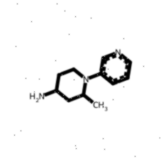 CC1CC(N)CCN1c1cccnc1